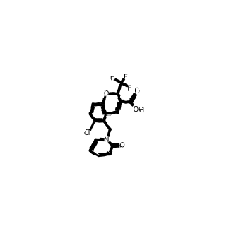 O=C(O)C1=Cc2c(ccc(Cl)c2Cn2ccccc2=O)OC1C(F)(F)F